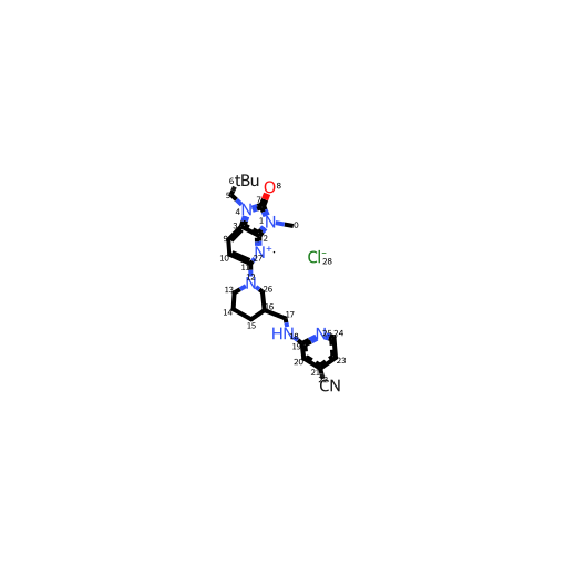 Cn1c2c(n(CC(C)(C)C)c1=O)=CC=C(N1CCCC(CNc3cc(C#N)ccn3)C1)[N+]=2.[Cl-]